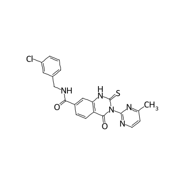 Cc1ccnc(-n2c(=S)[nH]c3cc(C(=O)NCc4cccc(Cl)c4)ccc3c2=O)n1